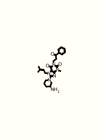 CC(C)=CCn1c(N2CCCC(N)C2)nc2c1c(=O)n(CCC(=O)c1ccccc1)c(=O)n2C